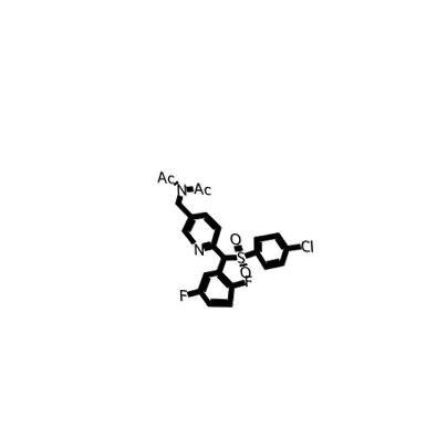 CC(=O)N(Cc1ccc(C(c2cc(F)ccc2F)S(=O)(=O)c2ccc(Cl)cc2)nc1)C(C)=O